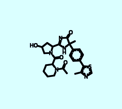 CC(=O)N1CCCCC1C(=O)N1CC(O)CC1C1=NC(=O)C(C)(c2ccc(-c3scnc3C)cc2)N1